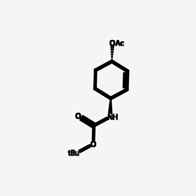 CC(=O)O[C@@H]1C=C[C@@H](NC(=O)OC(C)(C)C)CC1